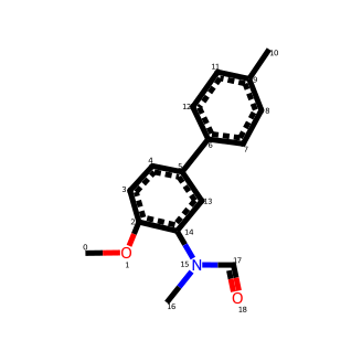 COc1ccc(-c2ccc(C)cc2)cc1N(C)C=O